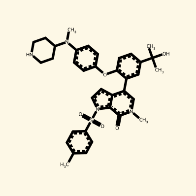 Cc1ccc(S(=O)(=O)n2ccc3c(-c4cc(C(C)(C)O)ccc4Oc4ccc(N(C)C5CCNCC5)cc4)cn(C)c(=O)c32)cc1